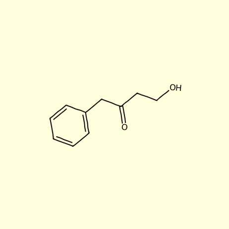 O=C(CCO)Cc1ccccc1